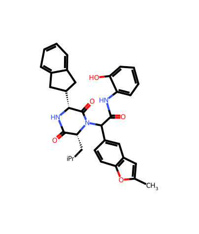 Cc1cc2cc(C(C(=O)Nc3ccccc3O)N3C(=O)[C@@H](C4Cc5ccccc5C4)NC(=O)[C@H]3CC(C)C)ccc2o1